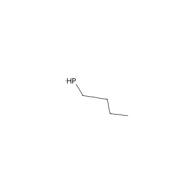 CCCC[PH]